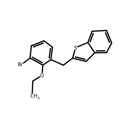 CCOc1c(Br)cccc1Cc1cc2ccccc2s1